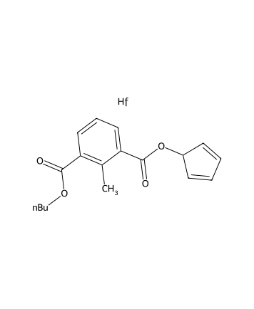 CCCCOC(=O)c1cccc(C(=O)OC2C=CC=C2)c1C.[Hf]